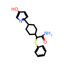 NC(=O)C(Sc1ccccc1)C1CCC(c2ccc(O)cn2)CC1